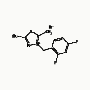 Cc1sc(C(C)(C)C)n[n+]1Cc1ccc(F)cc1F.[Br-]